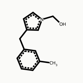 Cc1cccc(Cc2ccn(CO)c2)c1